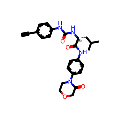 C#Cc1ccc(NC(=O)N[C@H](CC(C)C)C(=O)Nc2ccc(N3CCOCC3=O)cc2)cc1